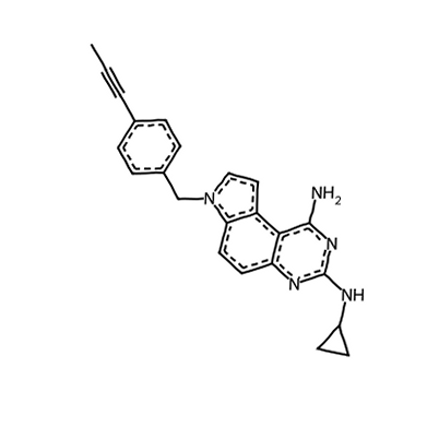 CC#Cc1ccc(Cn2ccc3c4c(N)nc(NC5CC5)nc4ccc32)cc1